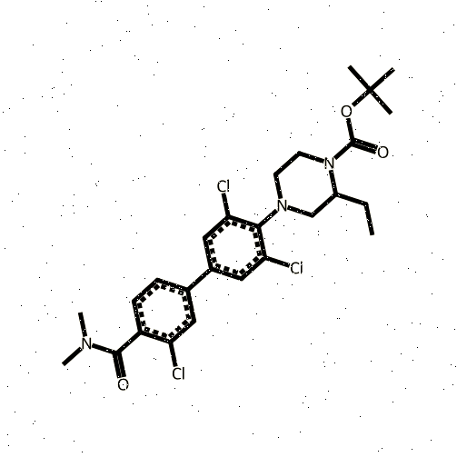 CCC1CN(c2c(Cl)cc(-c3ccc(C(=O)N(C)C)c(Cl)c3)cc2Cl)CCN1C(=O)OC(C)(C)C